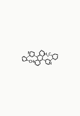 Cc1ccccc1-c1cc(-c2c3ccccc3c(-c3ccnc(-c4ccccc4C)c3)c3ccccc23)ccn1